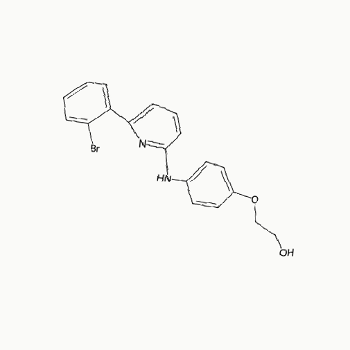 OCCOc1ccc(Nc2cccc(-c3ccccc3Br)n2)cc1